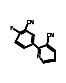 N#Cc1cc(-c2ncccc2C#N)ccc1F